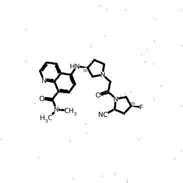 CN(C)C(=O)c1ccc(N[C@H]2CCN(CC(=O)N3C[C@@H](F)CC3C#N)C2)c2cccnc12